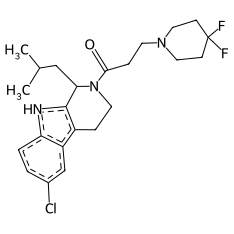 CC(C)CC1c2[nH]c3ccc(Cl)cc3c2CCN1C(=O)CCN1CCC(F)(F)CC1